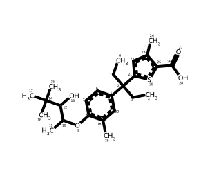 CCC(CC)(c1ccc(OC(C)C(O)C(C)(C)C)c(C)c1)c1cc(C)c(C(=O)O)s1